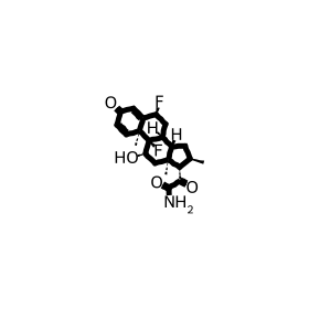 C[C@@H]1C[C@H]2[C@@H]3C[C@H](F)C4=CC(=O)C=C[C@]4(C)[C@@]3(F)[C@@H](O)C[C@]2(C)[C@H]1C(=O)C(N)=O